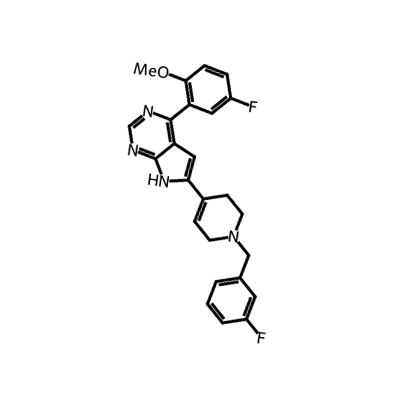 COc1ccc(F)cc1-c1ncnc2[nH]c(C3=CCN(Cc4cccc(F)c4)CC3)cc12